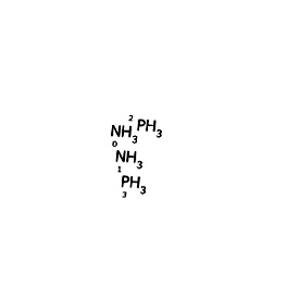 N.N.P.P